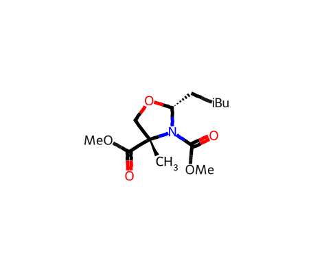 CCC(C)C[C@H]1OC[C@@](C)(C(=O)OC)N1C(=O)OC